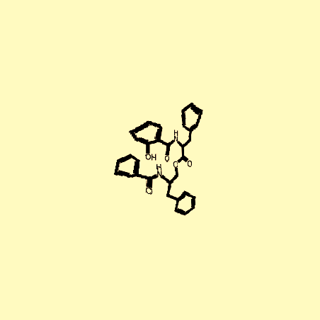 O=C(NC(COC(=O)C(Cc1ccccc1)NC(=O)c1ccccc1O)Cc1ccccc1)c1ccccc1